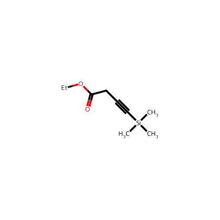 CCOC(=O)CC#C[Si](C)(C)C